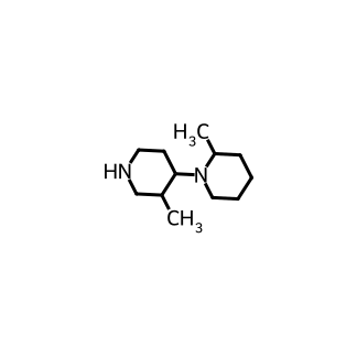 CC1CNCCC1N1CCCCC1C